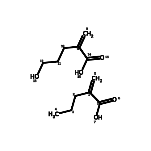 C=C(CCC)C(=O)O.C=C(CCCO)C(=O)O